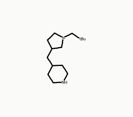 CC(C)(C)CN1CCC(CC2CCNCC2)C1